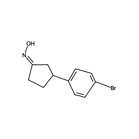 ON=C1CCC(c2ccc(Br)cc2)C1